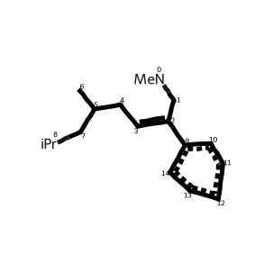 CNC/C(=C\CC(C)CC(C)C)c1ccccc1